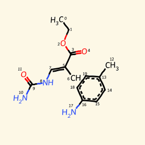 CCOC(=O)C(C)=CNC(N)=O.Cc1ccc(N)cc1